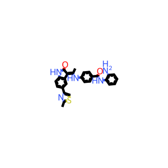 CC(Nc1ccc(C(=O)Nc2ccccc2N)cc1)=C1C(=O)Nc2ccc(-c3csc(C)n3)cc21